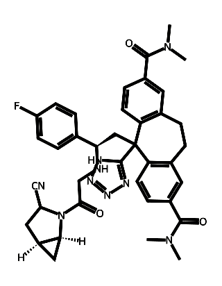 CN(C)C(=O)c1ccc2c(c1)CCc1cc(C(=O)N(C)C)ccc1C2(C[C@@H](NCC(=O)N1C(C#N)C[C@@H]2C[C@@H]21)c1ccc(F)cc1)c1nnn[nH]1